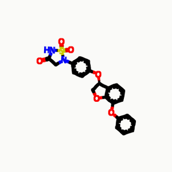 O=C1CN(c2ccc(O[C@@H]3COc4c(Oc5ccccc5)cccc43)cc2)S(=O)(=O)N1